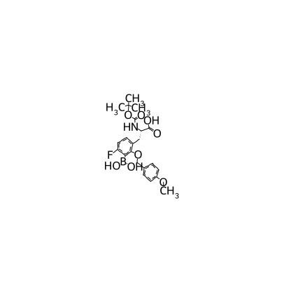 COc1ccc(COc2c(C[C@H](NC(=O)OC(C)(C)C)C(=O)O)ccc(F)c2B(O)O)cc1